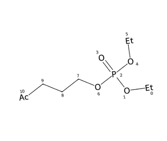 CCOP(=O)(OCC)OCCCC(C)=O